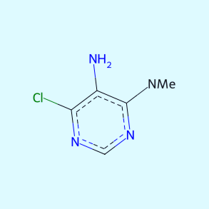 CNc1ncnc(Cl)c1N